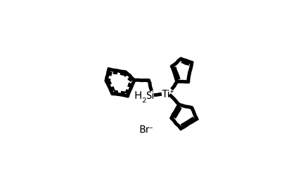 C1=CC[C]([Ti+]([SiH2]Cc2ccccc2)[C]2=CC=CC2)=C1.[Br-]